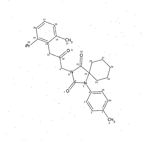 Cc1ccc(N2C(=O)N(CC(=O)Cc3c(C)cccc3C(C)C)C(=O)C23CCCCC3)cc1